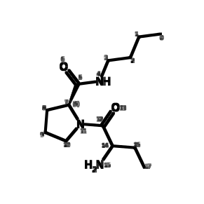 CCCCNC(=O)[C@@H]1CCCN1C(=O)C(N)CC